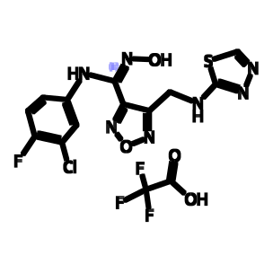 O/N=C(/Nc1ccc(F)c(Cl)c1)c1nonc1CNc1nncs1.O=C(O)C(F)(F)F